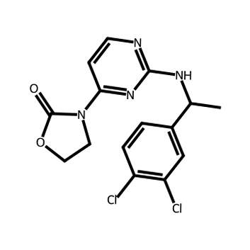 CC(Nc1nccc(N2CCOC2=O)n1)c1ccc(Cl)c(Cl)c1